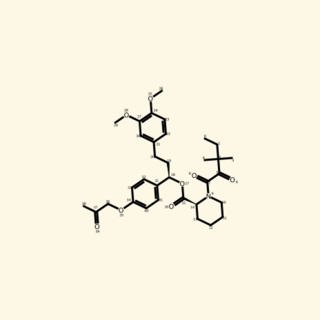 CCC(C)(C)C(=O)C(=O)N1CCCC[C@H]1C(=O)O[C@H](CCc1ccc(OC)c(OC)c1)c1ccc(OCC(C)=O)cc1